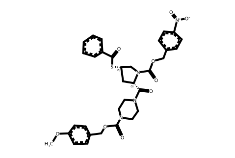 COc1ccc(COC(=O)N2CCN(C(=O)[C@@H]3C[C@H](SC(=O)c4ccccc4)CN3C(=O)OCc3ccc([N+](=O)[O-])cc3)CC2)cc1